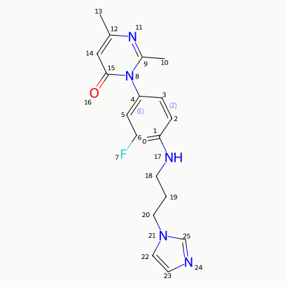 C=C(/C=C\C(=C/CF)n1c(C)nc(C)cc1=O)NCCCn1ccnc1